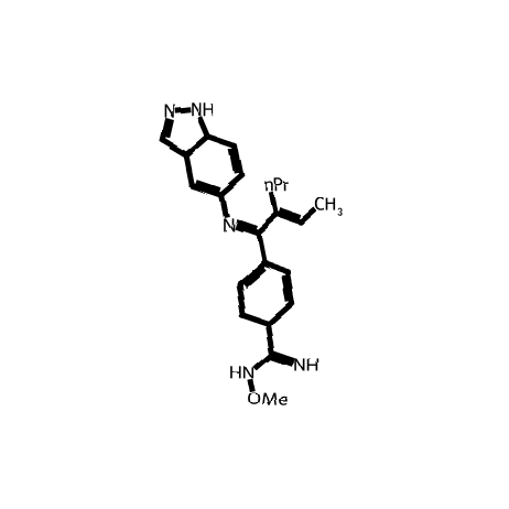 C/C=C(CCC)/C(=N\C1=CC2C=NNC2C=C1)C1=CCC(C(=N)NOC)C=C1